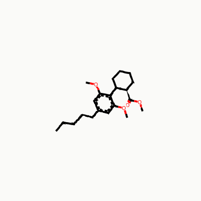 CCCCCc1cc(OC)c(C2CCCC[C@H]2C(=O)OC)c(OC)c1